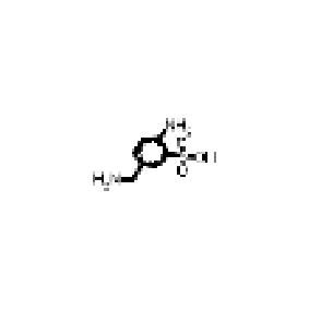 NCc1ccc(N)c(S(=O)(=O)O)c1